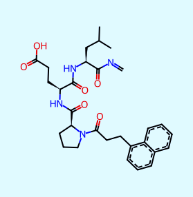 C=NC(=O)[C@H](CC(C)C)NC(=O)[C@H](CCC(=O)O)NC(=O)[C@@H]1CCCN1C(=O)CCc1cccc2ccccc12